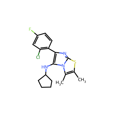 Cc1sc2nc(-c3ccc(F)cc3Cl)c(NC3CCCC3)n2c1C